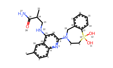 Cc1ccc2nc(N3CCS(O)(O)c4ccccc4C3)cc(NCC(C)C(N)=O)c2c1